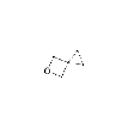 C1CC12COC2